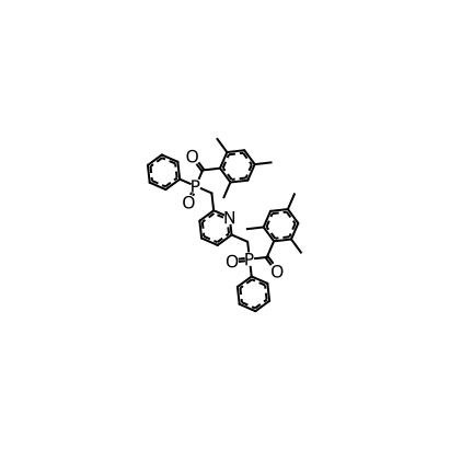 Cc1cc(C)c(C(=O)P(=O)(Cc2cccc(CP(=O)(C(=O)c3c(C)cc(C)cc3C)c3ccccc3)n2)c2ccccc2)c(C)c1